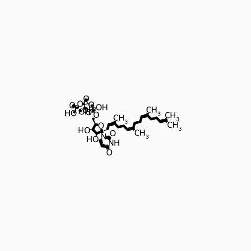 CC(C)=CCCC(C)=CCCC(C)=CCCC(C)=CC[C@@]1(n2ccc(=O)[nH]c2=O)O[C@H](COP(=O)(O)OP(=O)(O)OP(=O)(O)O)[C@@H](O)[C@H]1O